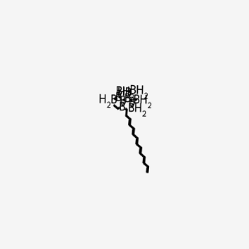 BBB(B(B)B)B(B(B)B)B(CC)CC/C=C/C=C/C=C/C=C/C=C/C=C